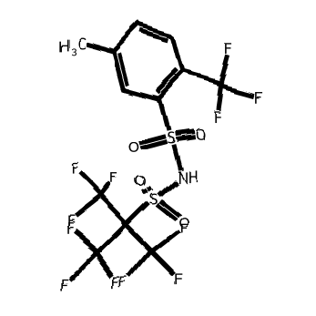 Cc1ccc(C(F)(F)F)c(S(=O)(=O)NS(=O)(=O)C(C(F)(F)F)(C(F)(F)F)C(F)(F)F)c1